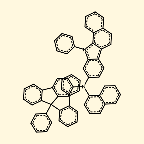 c1ccc(-c2ccccc2C2(c3ccccc3)c3ccccc3-c3ccc(N(c4ccc5c6ccc7ccccc7c6n(-c6ccccc6)c5c4)c4cccc5ccccc45)cc32)cc1